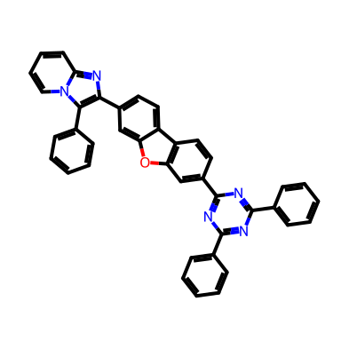 c1ccc(-c2nc(-c3ccccc3)nc(-c3ccc4c(c3)oc3cc(-c5nc6ccccn6c5-c5ccccc5)ccc34)n2)cc1